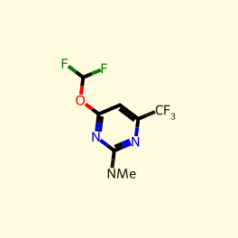 CNc1nc(OC(F)F)cc(C(F)(F)F)n1